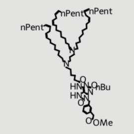 CCCCC/C=C\C/C=C\CCCCCCCCN(CCCCCCCC/C=C\C/C=C\CCCCC)CCCN(CCCCCCCC/C=C\C/C=C\CCCCC)CCCCCC(=O)Nc1nc(OCCCC)nc2c1[nH]c(=O)n2Cc1cccc(CC(=O)OC)c1